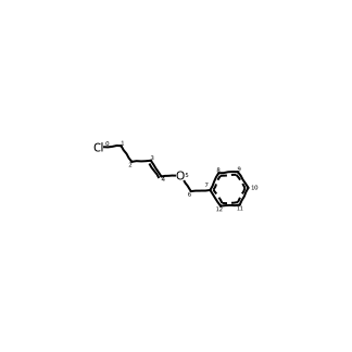 ClCCC=COCc1ccccc1